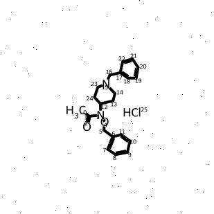 CC(=O)N(OCc1ccccc1)C1CCN(Cc2ccccc2)CC1.Cl